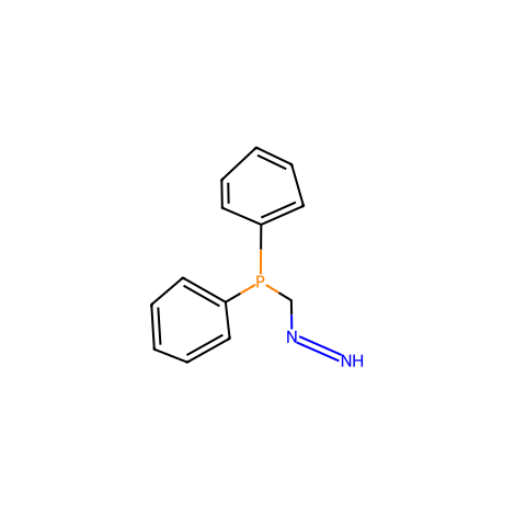 N=NCP(c1ccccc1)c1ccccc1